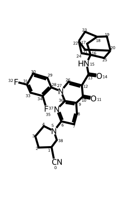 N#CC1CCCN(c2ccc3c(=O)c(C(=O)NC45CC6CC(CC(C6)C4)C5)cn(-c4ccc(F)cc4F)c3n2)C1